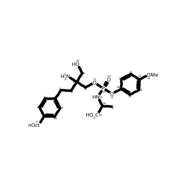 CCCCCCCCc1ccc(CCC(N)(CO)COP(=O)(NC(C)C(=O)O)Oc2ccc(OC)cc2)cc1